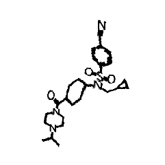 CC(C)N1CCN(C(=O)C2CCC(N(CC3CC3)S(=O)(=O)c3ccc(C#N)cc3)CC2)CC1